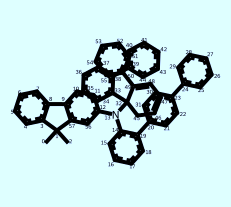 CC1(C)c2ccccc2-c2ccc(N(c3ccccc3-c3ccc(-c4ccccc4)cc3)C3(c4ccccc4-c4ccccc4)CC=CC=C3c3ccccc3)cc21